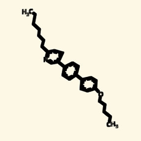 CCCCCCCc1ccc(-c2ccc(-c3ccc(OCCCCC)cc3)cc2)cn1